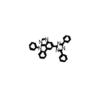 c1ccc(-c2nc(-c3ccccc3)nc(-c3cc4c5c(ncnc5c3)N(c3ccccc3)c3ccccc3-4)n2)cc1